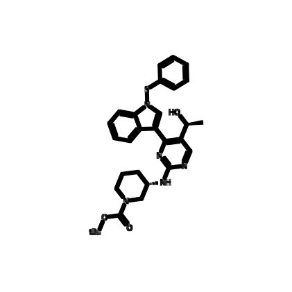 C[C@H](O)c1cnc(N[C@H]2CCCN(C(=O)OC(C)(C)C)C2)nc1-c1cn(Sc2ccccc2)c2ccccc12